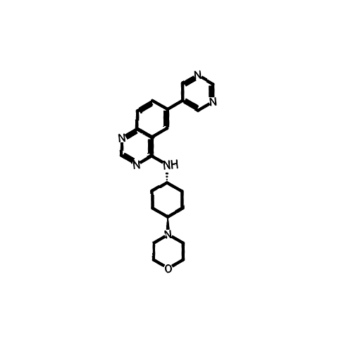 c1ncc(-c2ccc3ncnc(N[C@H]4CC[C@H](N5CCOCC5)CC4)c3c2)cn1